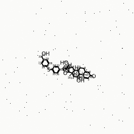 C[C@]12C=CC(=O)C=C1CC[C@@H]1[C@@H]2[C@@H](O)C[C@@]2(C)[C@H]1C[C@H]1O[C@@H](c3ccc(Sc4ccc(CO)cc4)cc3)O[C@]12C(=O)CO